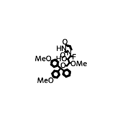 COc1ccc(C(OCC(OC)C(O)C(F)n2ccc(=O)[nH]c2=O)(c2ccccc2)c2ccc(OC)cc2)cc1